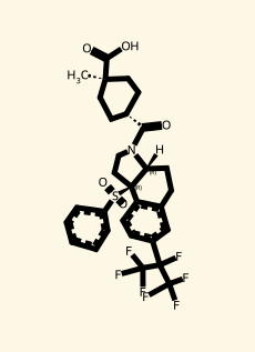 C[C@]1(C(=O)O)CC[C@H](C(=O)N2CC[C@@]3(S(=O)(=O)c4ccccc4)c4ccc(C(F)(C(F)(F)F)C(F)(F)F)cc4CC[C@@H]23)CC1